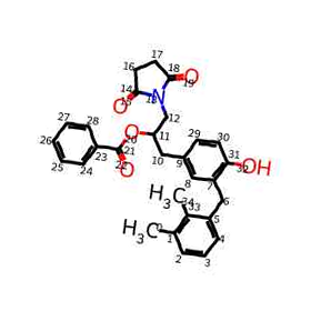 Cc1cccc(Cc2cc(CC(CN3C(=O)CCC3=O)OC(=O)c3ccccc3)ccc2O)c1C